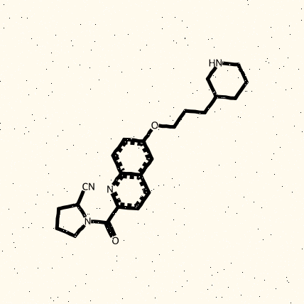 N#CC1CCCN1C(=O)c1ccc2cc(OCCCC3CCCNC3)ccc2n1